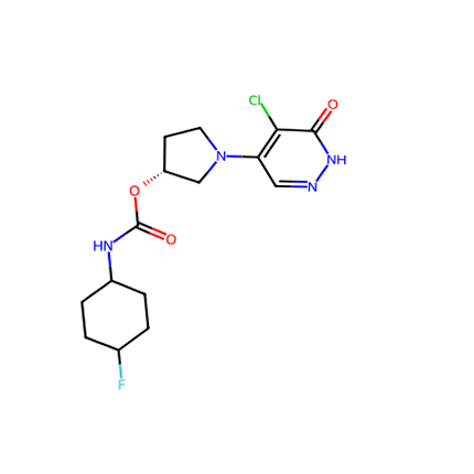 O=C(NC1CCC(F)CC1)O[C@@H]1CCN(c2cn[nH]c(=O)c2Cl)C1